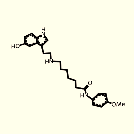 COc1ccc(NC(=O)CCCCCCNCCc2c[nH]c3ccc(O)cc23)cc1